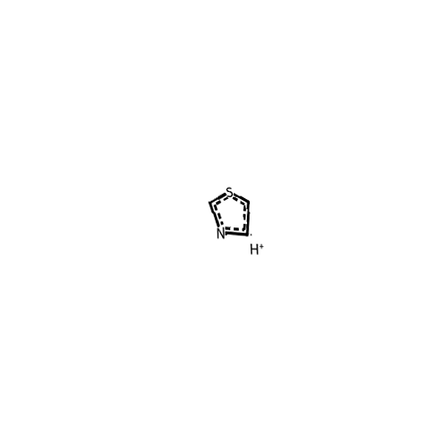 [H+].[c]1cscn1